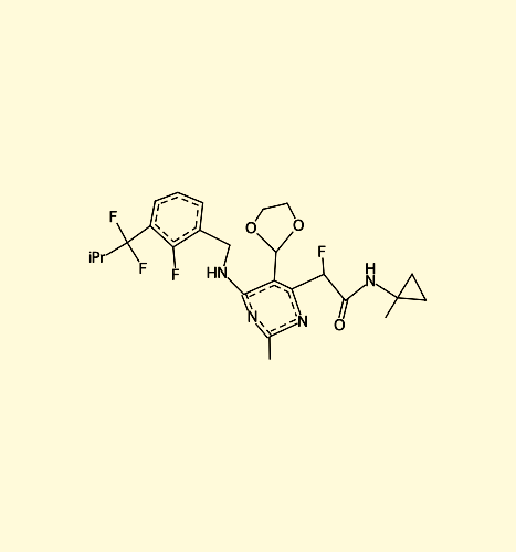 Cc1nc(NCc2cccc(C(F)(F)C(C)C)c2F)c(C2OCCO2)c(C(F)C(=O)NC2(C)CC2)n1